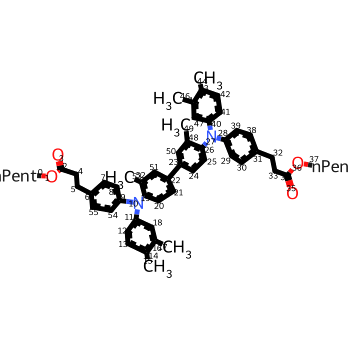 CCCCCOC(=O)CCc1ccc(N(c2ccc(C)c(C)c2)c2ccc(-c3ccc(N(c4ccc(CCC(=O)OCCCCC)cc4)c4ccc(C)c(C)c4)c(C)c3)cc2C)cc1